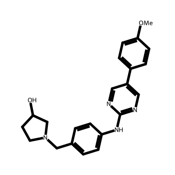 COc1ccc(-c2cnc(Nc3ccc(CN4CCC(O)C4)cc3)nc2)cc1